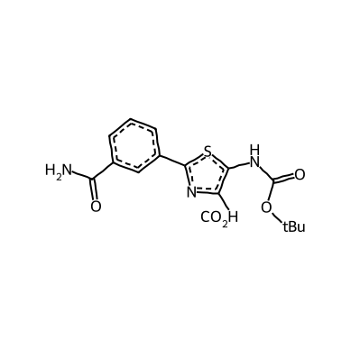 CC(C)(C)OC(=O)Nc1sc(-c2cccc(C(N)=O)c2)nc1C(=O)O